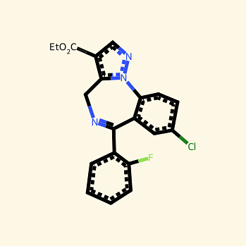 CCOC(=O)c1cnn2c1CN=C(c1ccccc1F)c1cc(Cl)ccc1-2